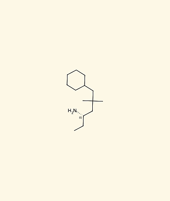 CC[C@H](N)CC(C)(C)CC1CCCCC1